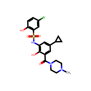 CN1CCN(C(=O)c2cc(C3CC3)cc(NS(=O)(=O)c3cc(Br)ccc3O)c2O)CC1